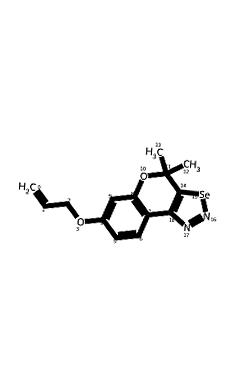 C=CCOc1ccc2c(c1)OC(C)(C)c1[se]nnc1-2